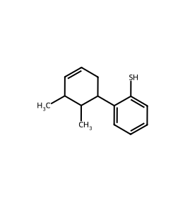 CC1C=CCC(c2ccccc2S)C1C